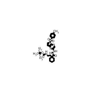 Cc1ccc(S(=O)(=O)n2ccc3nc(NNC(=O)C4(CCNC(=O)OC(C)(C)C)CCCCC4)cnc32)cc1